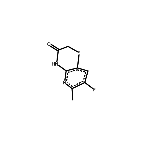 Cc1nc2c(cc1F)SCC(=O)N2